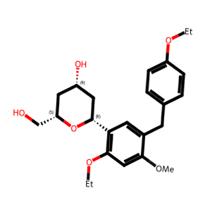 CCOc1ccc(Cc2cc([C@H]3C[C@@H](O)C[C@@H](CO)O3)c(OCC)cc2OC)cc1